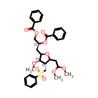 COC(CC1OC(C[C@@H](COC(=O)c2ccccc2)OC(=O)c2ccccc2)[C@H](OC)[C@H]1CS(=O)(=O)c1ccccc1)OC